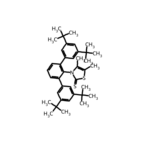 Cc1sc(=S)n(-c2c(-c3cc(C(C)(C)C)cc(C(C)(C)C)c3)cccc2-c2cc(C(C)(C)C)cc(C(C)(C)C)c2)c1C